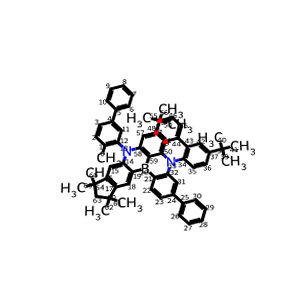 Cc1ccc(-c2ccccc2)cc1N1c2cc3c(cc2B2c4ccc(-c5ccccc5)cc4N(c4ccc(C(C)(C)C)cc4-c4ccccc4)c4cc(C(C)(C)C)cc1c42)C(C)(C)CC3(C)C